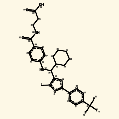 Cc1oc(-c2ccc(C(F)(F)F)cn2)cc1C(Nc1ccc(C(=O)NCCC(=O)O)cc1)C1CCCCC1